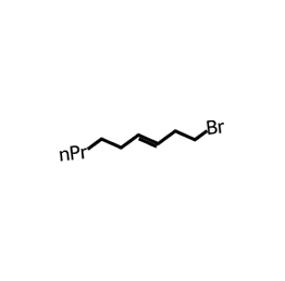 CCCCCC=CCCBr